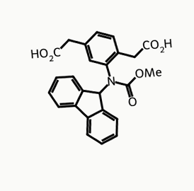 COC(=O)N(c1cc(CC(=O)O)ccc1CC(=O)O)C1c2ccccc2-c2ccccc21